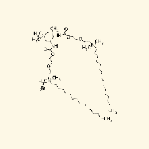 CCCCCCCCCCCCCCCC[N+](C)(C)CCOCCOC(=O)NCC1(C)CC(NC(=O)OCCOCC[N+](C)(C)CCCCCCCCCCCCCCCC)CC(C)(C)C1.[Br-].[Br-]